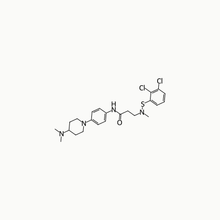 CN(CCC(=O)Nc1ccc(N2CCC(N(C)C)CC2)cc1)Sc1cccc(Cl)c1Cl